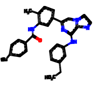 Cc1ccc(-c2cn3ccnc3c(Nc3cccc(CC(=O)O)c3)n2)cc1NC(=O)c1ccc(C(C)(C)C)cc1